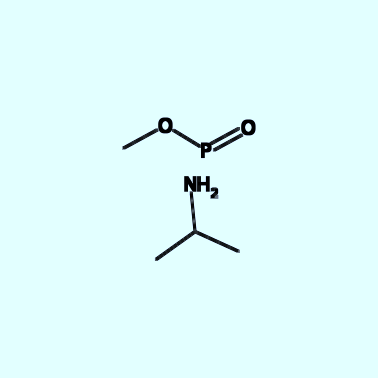 CC(C)N.COP=O